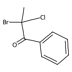 CC(Cl)(Br)C(=O)c1ccccc1